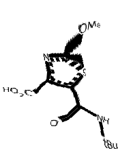 COc1nc(C(=O)O)c(C(=O)NC(C)(C)C)s1